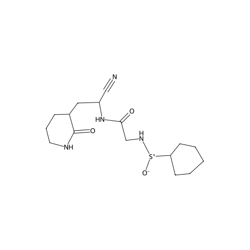 N#CC(CC1CCCNC1=O)NC(=O)CN[S+]([O-])C1CCCCC1